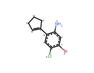 Nc1cc(Br)c(Cl)cc1C1=CCCC1